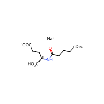 CCCCCCCCCCCCCC(=O)N[C@H](CCC(=O)[O-])C(=O)O.[Na+]